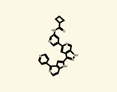 O=C(Nc1cncc(-c2cc3c(-c4cc5c(-c6ccncc6)nccc5[nH]4)n[nH]c3cn2)c1)C1CCC1